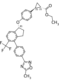 CCOC(=O)[C@H]1C[C@@H]1c1ccc(O[C@@H]2CCc3c2ccc(C(F)(F)F)c3-c2ccc(-c3noc(C)n3)cc2)cc1